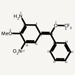 COC1=C(N)CC(=C(OC(F)(F)F)c2ccccc2)C=C1[N+](=O)[O-]